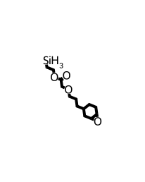 O=C(COCCCC1CCC2OC2C1)OCC[SiH3]